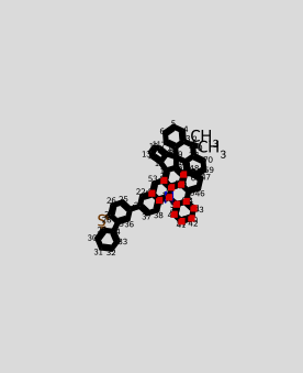 CC1(C)c2ccccc2C2(c3ccccc3-c3cc(N(c4ccc(-c5ccc6sc7ccccc7c6c5)cc4)c4ccccc4-c4ccccc4-c4ccccc4-c4ccccc4)ccc32)c2ccccc21